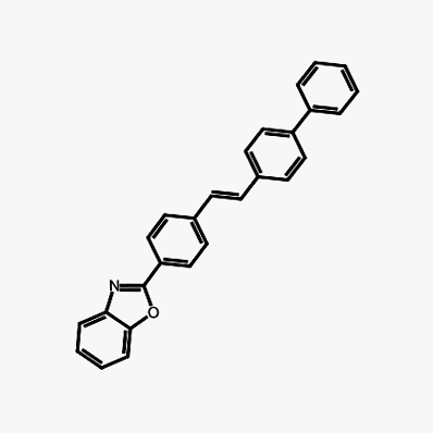 C(=Cc1ccc(-c2nc3ccccc3o2)cc1)c1ccc(-c2ccccc2)cc1